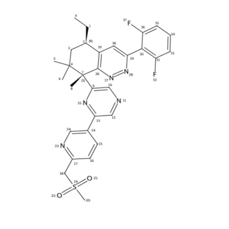 CC[C@@H]1CC(C)(C)[C@@](C)(c2cncc(-c3ccc(CS(C)(=O)=O)nc3)n2)c2nnc(-c3c(F)cccc3F)cc21